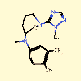 CCn1ncnc1N1CCCC(N(C)c2ccc(C#N)c(C(F)(F)F)c2)C1